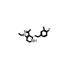 CCn1nc(C)c2c1CCN[C@H]2CCc1ccc(F)c(C)c1